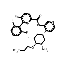 C[C@@H]1C[C@H](c2ccncc2NC(=O)c2ccc(F)c(-c3c(F)cccc3F)n2)C[C@H](N)[C@H]1OCCC(=O)O